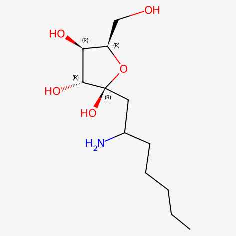 CCCCCC(N)C[C@@]1(O)O[C@H](CO)[C@H](O)[C@H]1O